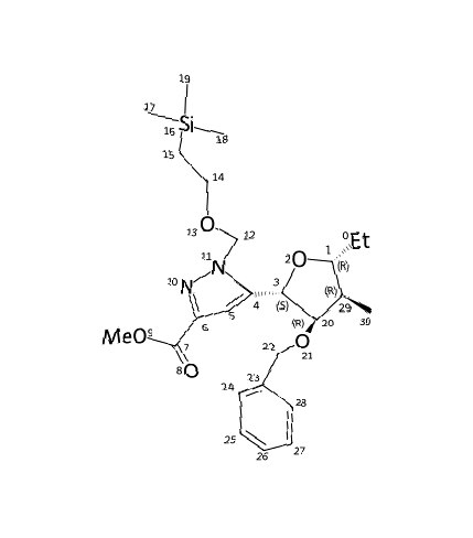 CC[C@H]1O[C@@H](c2cc(C(=O)OC)nn2COCC[Si](C)(C)C)[C@H](OCc2ccccc2)[C@@H]1C